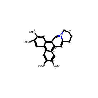 COc1cc2c3cc(OC)c(OC)cc3c3c[n+]4c(cc3c2cc1OC)CCCC4